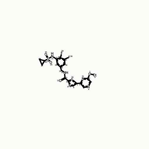 CCOc1cncc(-c2cnc(C(=O)NCc3cc(F)c(F)c(NS(=O)(=O)C4CC4)c3)s2)n1